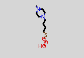 CN1CCN(CCCCSOOO)CC1